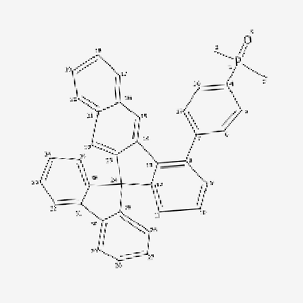 CP(C)(=O)c1ccc(-c2cccc3c2-c2cc4ccccc4cc2C32c3ccccc3-c3ccccc32)cc1